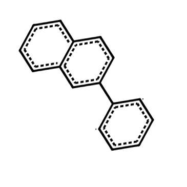 [c]1ccc[c]c1-c1ccc2ccccc2c1